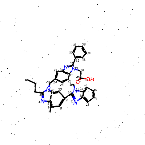 CCCc1nc2c(C)cc(-c3nc4ccccc4n3C)cc2n1Cc1ccc2c(c1)nc(-c1ccccc1)n2CC(=O)O